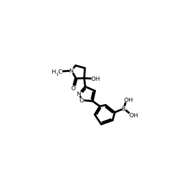 CN1CCC(O)(c2cc(-c3cccc(B(O)O)c3)on2)C1=O